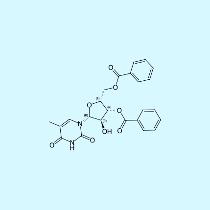 Cc1cn([C@@H]2O[C@H](COC(=O)c3ccccc3)[C@H](OC(=O)c3ccccc3)[C@H]2O)c(=O)[nH]c1=O